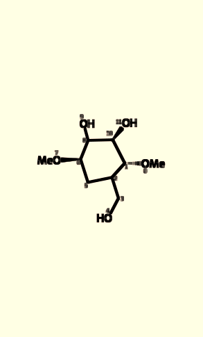 CO[C@@H]1C(CO)C[C@@H](OC)C(O)[C@H]1O